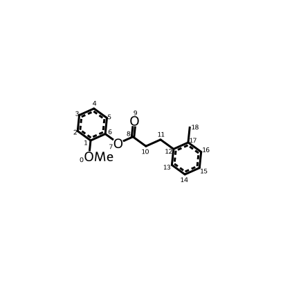 COc1ccccc1OC(=O)CCc1ccccc1C